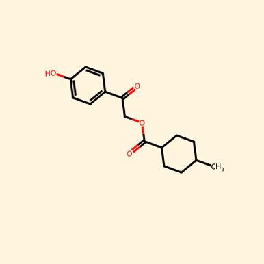 CC1CCC(C(=O)OCC(=O)c2ccc(O)cc2)CC1